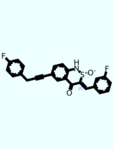 O=C1/C(=C/c2cccc(F)c2)[S+]([O-])Nc2ccc(C#CCc3ccc(F)cc3)cc21